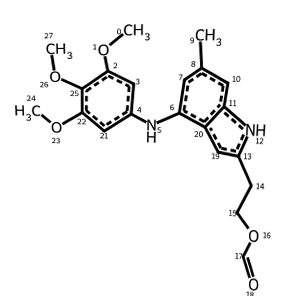 COc1cc(Nc2cc(C)cc3[nH]c(CCOC=O)cc23)cc(OC)c1OC